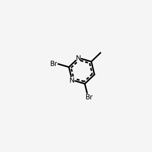 Cc1cc(Br)nc(Br)n1